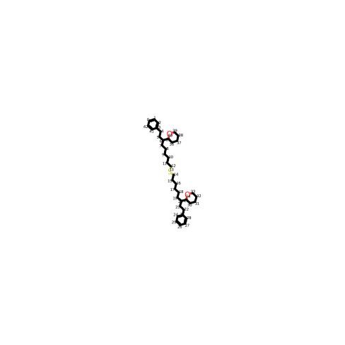 c1ccc(CCC(CCCCCCSCCCCCCC(CCc2ccccc2)C2CCCCO2)C2CCCCO2)cc1